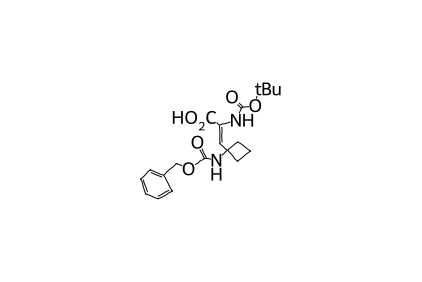 CC(C)(C)OC(=O)N/C(=C\C1(NC(=O)OCc2ccccc2)CCC1)C(=O)O